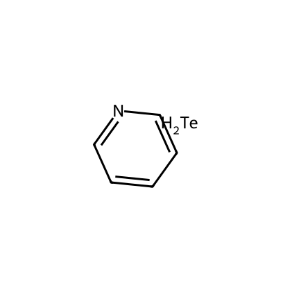 [TeH2].c1ccncc1